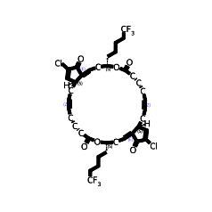 O=C1CCC/C=C\C[C@H]2C=C(Cl)C(=O)/C2=C/C[C@H](CCCCC(F)(F)F)OC(=O)CCC/C=C\C[C@H]2C=C(Cl)C(=O)/C2=C/C[C@H](CCCCC(F)(F)F)O1